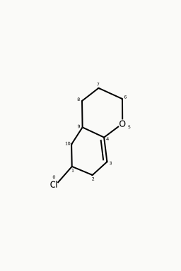 ClC1CC=C2OCCCC2C1